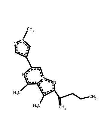 C=C(CCC)c1nn2cc(-c3cnn(C)c3)nc(C)c2c1C